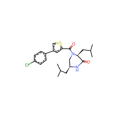 CC(C)C[C@H]1CN(C(=O)c2cc(-c3ccc(Cl)cc3)cs2)[C@@H](CC(C)C)C(=O)N1